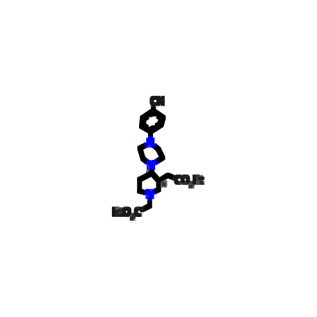 CCOC(=O)C[C@H]1CN(CC(=O)OCC)CC[C@H]1N1CCN(c2ccc(C#N)cc2)CC1